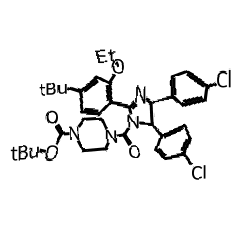 CCOc1cc(C(C)(C)C)ccc1C1=N[C@@H](c2ccc(Cl)cc2)[C@@H](c2ccc(Cl)cc2)N1C(=O)N1CCN(C(=O)OC(C)(C)C)CC1